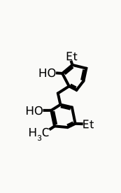 CCc1cc(C)c(O)c(Cc2cccc(CC)c2O)c1